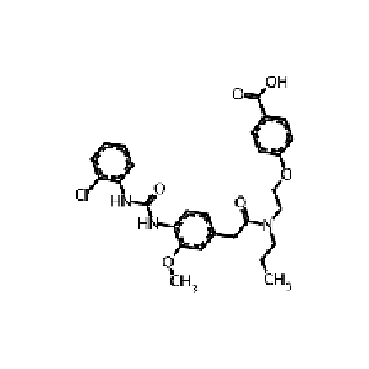 CCCN(CCOc1ccc(C(=O)O)cc1)C(=O)Cc1ccc(NC(=O)Nc2ccccc2Cl)c(OC)c1